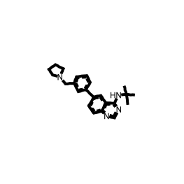 CC(C)(C)Nc1ncnc2ccc(-c3cccc(CN4CCCC4)c3)cc12